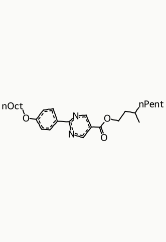 CCCCCCCCOc1ccc(-c2ncc(C(=O)OCCC(C)CCCCC)cn2)cc1